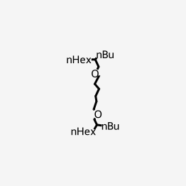 CCCCCCC(CCCC)COCCCCCCOCC(CCCC)CCCCCC